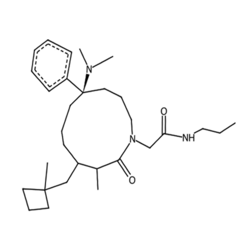 CCCNC(=O)CN1CCC[C@](c2ccccc2)(N(C)C)CCCC(CC2(C)CCC2)C(C)C1=O